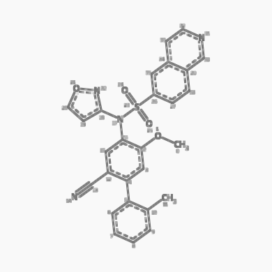 COc1cc(-c2ccccc2C)c(C#N)cc1N(c1ccon1)S(=O)(=O)c1ccc2cnccc2c1